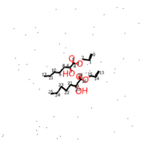 C=CCOC(=O)C(O)CCCCC.C=CCOC(=O)C(O)CCCCC